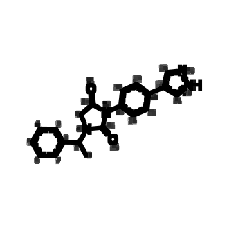 CC(c1ccccc1)N1CC(=O)N(c2ccc(-c3cn[nH]c3)cc2)C1=O